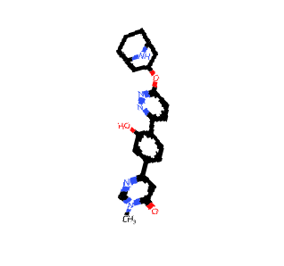 Cn1cnc(-c2ccc(-c3ccc(OC4CC5CCCC(C4)N5)nn3)c(O)c2)cc1=O